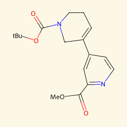 COC(=O)c1cc(C2=CCCN(C(=O)OC(C)(C)C)C2)ccn1